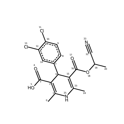 CC1=C(C(=O)O)C(c2ccc(Cl)c(Cl)c2)C(C(=O)OC(C)C#N)=C(C)N1